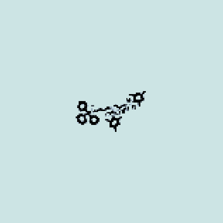 CCCN(CCCN(CCCCNC(c1ccccc1)(c1ccccc1)c1ccccc1)S(=O)(=O)c1c(C)cc(C)cc1C)S(=O)(=O)c1c(C)cc(C)cc1C